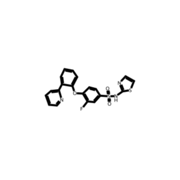 O=S(=O)(Nc1nccs1)c1ccc(Oc2ccccc2-c2ccccn2)c(F)c1